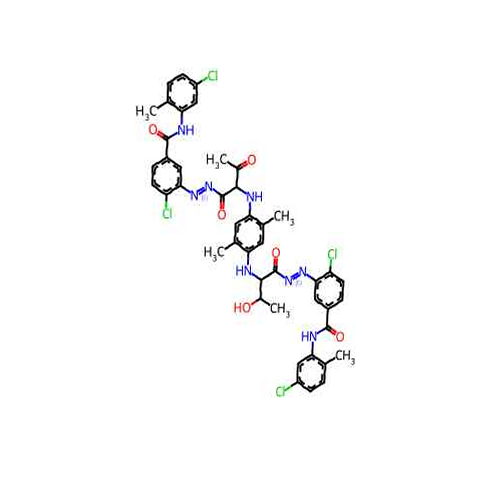 CC(=O)C(Nc1cc(C)c(NC(C(=O)/N=N/c2cc(C(=O)Nc3cc(Cl)ccc3C)ccc2Cl)C(C)O)cc1C)C(=O)/N=N/c1cc(C(=O)Nc2cc(Cl)ccc2C)ccc1Cl